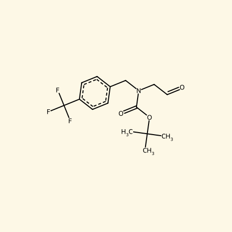 CC(C)(C)OC(=O)N(CC=O)Cc1ccc(C(F)(F)F)cc1